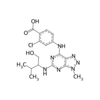 CC(C)C(CO)Nc1nc(Nc2ccc(C(=O)O)c(Cl)c2)c2nnn(C)c2n1